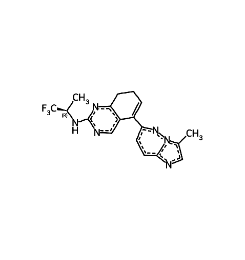 Cc1cnc2ccc(C3=CCCc4nc(N[C@H](C)C(F)(F)F)ncc43)nn12